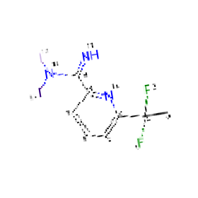 CC(F)(F)c1cccc(C(=N)N(I)I)n1